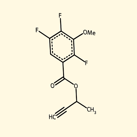 C#CC(C)OC(=O)c1cc(F)c(F)c(OC)c1F